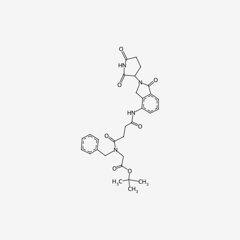 CC(C)(C)OC(=O)CN(Cc1ccccc1)C(=O)CCC(=O)Nc1cccc2c1CN(C1CCC(=O)NC1=O)C2=O